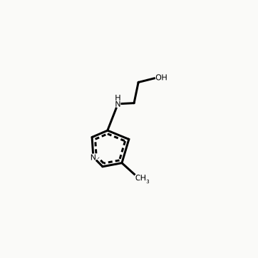 Cc1cncc(NCCO)c1